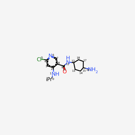 CC(C)Nc1cc(Cl)ncc1C(=O)NC1CCC(N)CC1